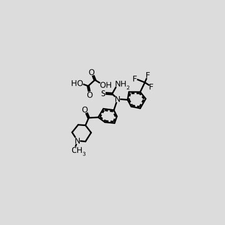 CN1CCC(C(=O)c2cccc(N(C(N)=S)c3cccc(C(F)(F)F)c3)c2)CC1.O=C(O)C(=O)O